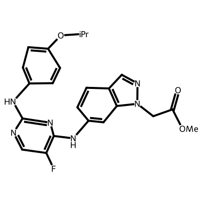 COC(=O)Cn1ncc2ccc(Nc3nc(Nc4ccc(OC(C)C)cc4)ncc3F)cc21